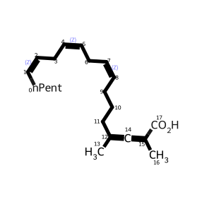 CCCCC/C=C\C/C=C\C/C=C\CCCC(C)=C=C(C)C(=O)O